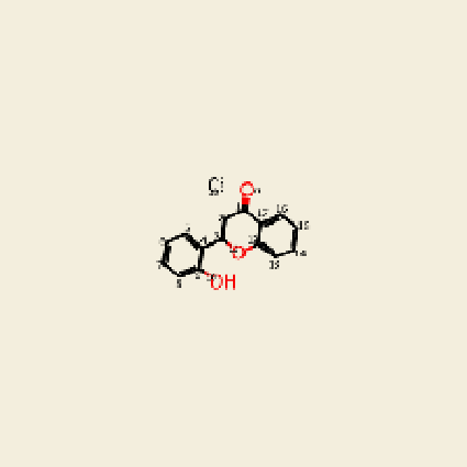 O=C1CC(c2ccccc2O)Oc2ccccc21.[C]